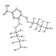 O=C(O)c1ccc(OCC(F)(F)C(F)(F)C(F)(F)C(F)(F)F)c(OCC(F)(F)C(F)(F)C(F)(F)C(F)F)c1